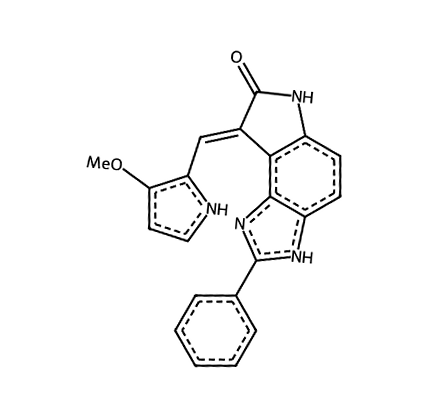 COc1cc[nH]c1/C=C1/C(=O)Nc2ccc3[nH]c(-c4ccccc4)nc3c21